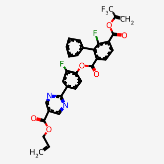 C=CCOC(=O)c1cnc(-c2ccc(OC(=O)c3ccc(C(=O)OC(=C)C(F)(F)F)c(F)c3-c3ccccc3)c(F)c2)nc1